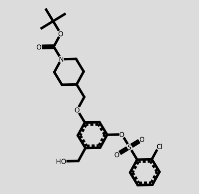 CC(C)(C)OC(=O)N1CCC(COc2cc(CO)cc(OS(=O)(=O)c3ccccc3Cl)c2)CC1